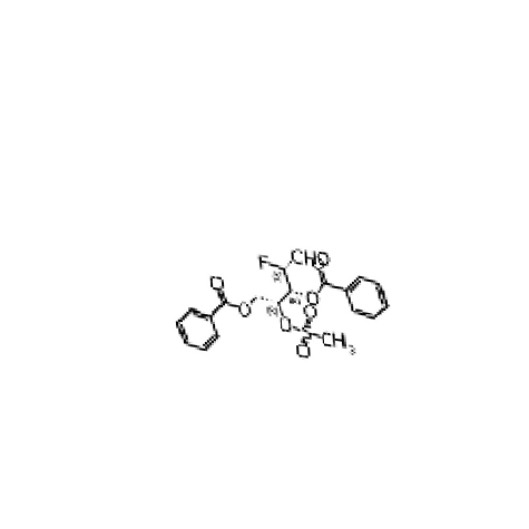 CS(=O)(=O)O[C@H](COC(=O)c1ccccc1)[C@@H](OC(=O)c1ccccc1)[C@H](F)C=O